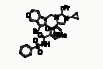 CCCC1N(Cc2c3ccocc-3c(Br)c2-c2ccccc2C(=O)NS(=O)(=O)c2ccccc2)C(C(=O)NC)=CN1C1CC1